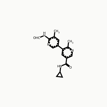 Cc1cc(-c2cc(C(=O)NC3CC3)cnc2C)cnc1NC=O